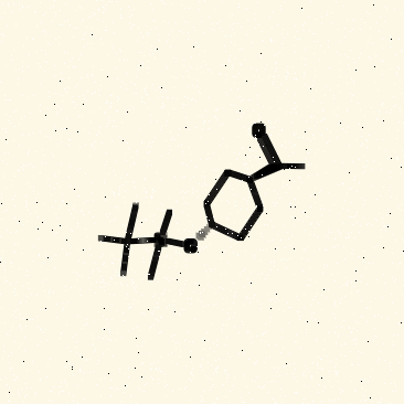 CC(=O)[C@H]1CC[C@H](O[Si](C)(C)C(C)(C)C)CC1